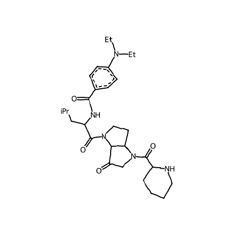 CCN(CC)c1ccc(C(=O)NC(CC(C)C)C(=O)N2CCC3C2C(=O)CN3C(=O)C2CCCCN2)cc1